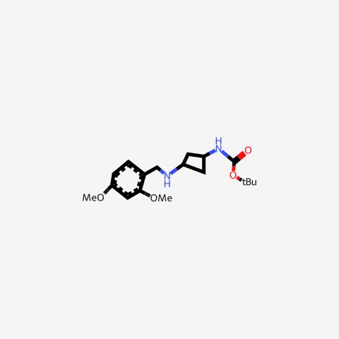 COc1ccc(CNC2CC(NC(=O)OC(C)(C)C)C2)c(OC)c1